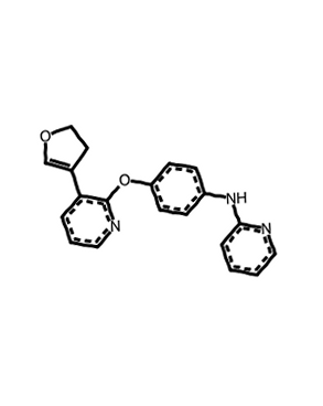 C1=C(c2cccnc2Oc2ccc(Nc3ccccn3)cc2)CCO1